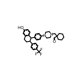 O=CC1(CN2CCN(c3ccc(C4c5ccc(O)cc5CCC4c4ccc(C(F)(F)F)cc4)cc3)CC2)CCCCC1